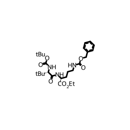 CCOC(=O)[C@@H](CCCNC(=O)OCc1ccccc1)NC(=O)[C@@H](NC(=O)OC(C)(C)C)C(C)(C)C